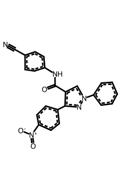 N#Cc1ccc(NC(=O)c2cn(-c3ccccc3)nc2-c2ccc([N+](=O)[O-])cc2)cc1